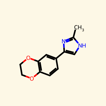 Cc1nc(-c2ccc3c(c2)OCCO3)c[nH]1